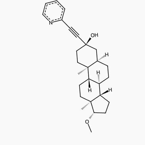 CO[C@H]1CC[C@H]2[C@@H]3CC[C@@H]4C[C@@](O)(C#Cc5ccccn5)CC[C@]4(C)[C@H]3CC[C@]12C